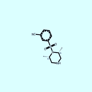 C[C@@H]1CNC[C@H](C)N1S(=O)(=O)c1cccc(C#N)c1